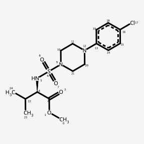 COC(=O)[C@H](NS(=O)(=O)N1CCN(c2ccc(Cl)cc2)CC1)C(C)C